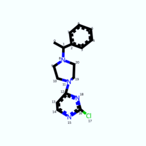 CC(c1ccccc1)N1CCN(c2ccnc(Cl)n2)CC1